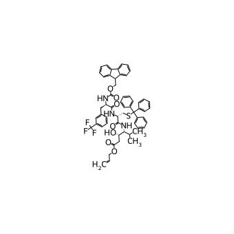 C=CCOC(=O)C[C@H](O)[C@H](NC(=O)[C@@H](CSC(c1ccccc1)(c1ccccc1)c1ccccc1)NC(=O)[C@@H](Cc1cccc(C(F)(F)F)c1)NC(=O)OCC1c2ccccc2-c2ccccc21)C(C)C